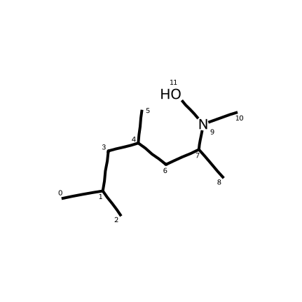 CC(C)CC(C)CC(C)N(C)O